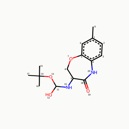 Cc1ccc2c(c1)OCC(NC(O)OC(C)(C)C)C(=O)N2